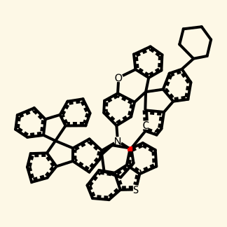 c1ccc2c(c1)Oc1ccc(N(c3ccc4c(c3)C3(c5ccccc5-c5ccccc53)c3ccccc3-4)c3cccc4sc5ccccc5c34)cc1C21c2cc(C3CCCCC3)ccc2-c2ccc(C3CCCCC3)cc21